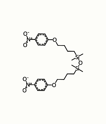 C[Si](C)(CCCCOc1ccc([N+](=O)[O-])cc1)O[Si](C)(C)CCCCOc1ccc([N+](=O)[O-])cc1